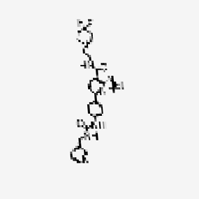 CCNc1nc(-c2ccc(NC(=O)NCc3cccnc3)cc2)ccc1C(=O)NCCN1CCC(F)(F)CC1